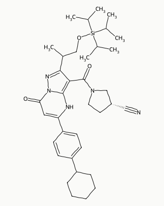 CC(CO[Si](C(C)C)(C(C)C)C(C)C)c1nn2c(=O)cc(-c3ccc(C4CCCCC4)cc3)[nH]c2c1C(=O)N1CC[C@@H](C#N)C1